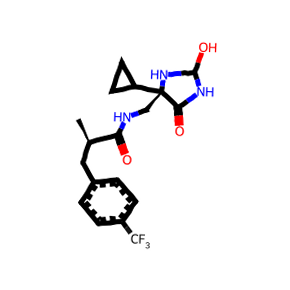 C[C@H](Cc1ccc(C(F)(F)F)cc1)C(=O)NC[C@@]1(C2CC2)NC(O)NC1=O